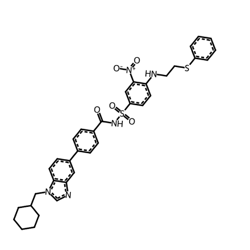 O=C(NS(=O)(=O)c1ccc(NCCSc2ccccc2)c([N+](=O)[O-])c1)c1ccc(-c2ccc3c(c2)ncn3CC2CCCCC2)cc1